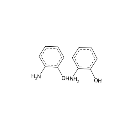 Nc1ccccc1O.Nc1ccccc1O